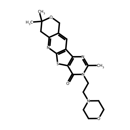 Cc1nc2c(sc3nc4c(cc32)COC(C)(C)C4)c(=O)n1CCN1CCOCC1